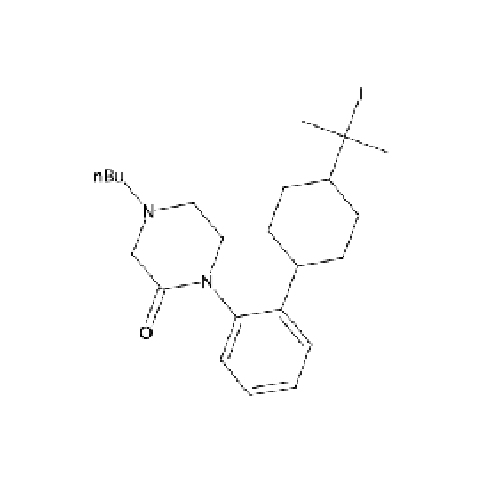 CCCCN1CCN(c2ccccc2C2CCC(C(C)(C)I)CC2)C(=O)C1